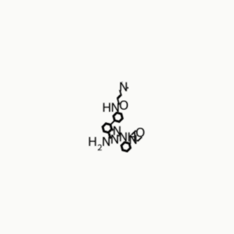 CN(C)C/C=C/C(=O)Nc1cccc(-c2cccc3c(N)nc(Nc4ccccc4N4CCOCC4)nc23)c1